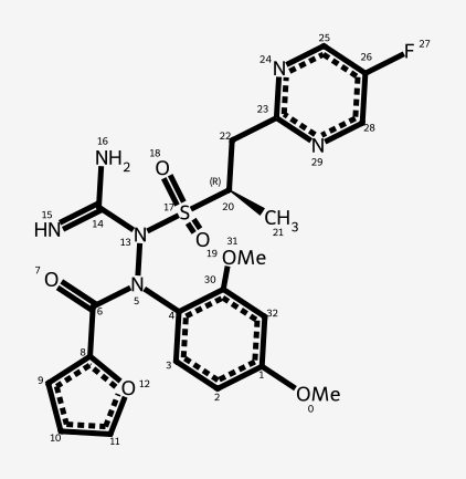 COc1ccc(N(C(=O)c2ccco2)N(C(=N)N)S(=O)(=O)[C@H](C)Cc2ncc(F)cn2)c(OC)c1